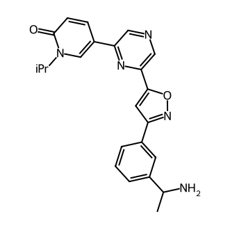 CC(N)c1cccc(-c2cc(-c3cncc(-c4ccc(=O)n(C(C)C)c4)n3)on2)c1